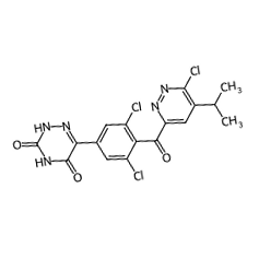 CC(C)c1cc(C(=O)c2c(Cl)cc(-c3n[nH]c(=O)[nH]c3=O)cc2Cl)nnc1Cl